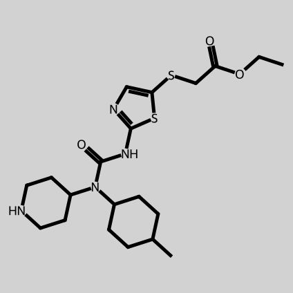 CCOC(=O)CSc1cnc(NC(=O)N(C2CCNCC2)C2CCC(C)CC2)s1